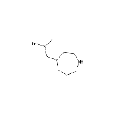 CC(C)N(C)CC1CCCNCC1